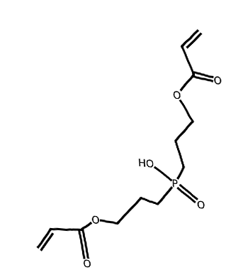 C=CC(=O)OCCCP(=O)(O)CCCOC(=O)C=C